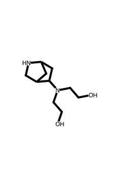 OCCN(CCO)C1CC2CC1CN2